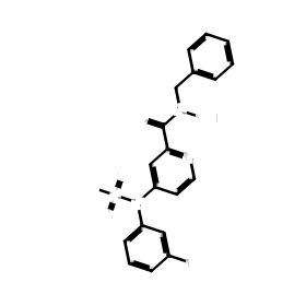 CS(=O)(=O)N(c1cccc(F)c1)c1ccnc(C(=O)N(O)Cc2ccccc2)c1